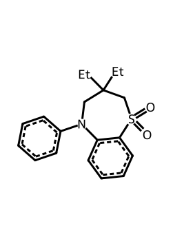 CCC1(CC)CN(c2ccccc2)c2ccccc2S(=O)(=O)C1